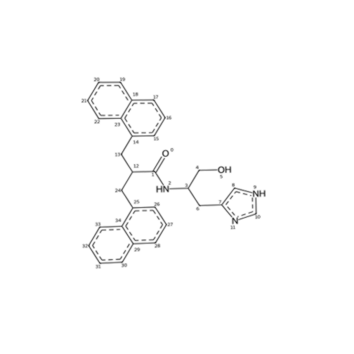 O=C(NC(CO)Cc1c[nH]cn1)C(Cc1cccc2ccccc12)Cc1cccc2ccccc12